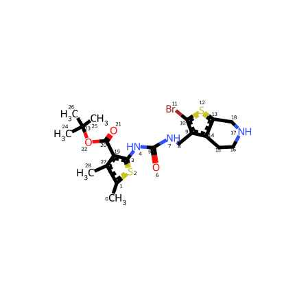 Cc1sc(NC(=O)NCc2c(Br)sc3c2CCNC3)c(C(=O)OC(C)(C)C)c1C